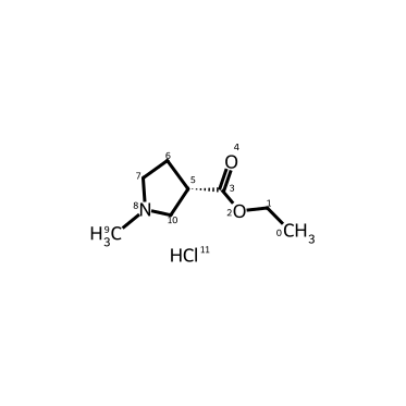 CCOC(=O)[C@H]1CCN(C)C1.Cl